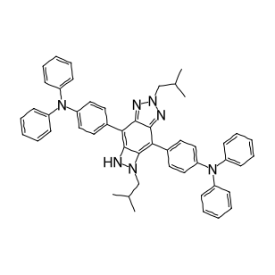 CC(C)Cn1nc2c(-c3ccc(N(c4ccccc4)c4ccccc4)cc3)c3[nH]n(CC(C)C)c3c(-c3ccc(N(c4ccccc4)c4ccccc4)cc3)c2n1